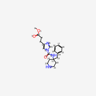 COC(=O)CCc1cn(C(=O)NC2(Cc3ccccc3)CCNCC2)cn1